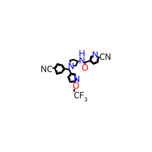 N#Cc1ccc(C(c2ccc(OCC(F)(F)F)nc2)N2CC[C@@H](NC(=O)c3ccc(C#N)nc3)C2)cc1